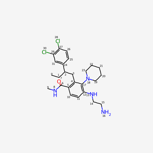 CCC(Cc1c(C(=O)NC)ccc(NCCN)c1N1CCCCC1)c1ccc(Cl)c(Cl)c1